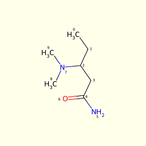 CCC(CC(N)=O)N(C)C